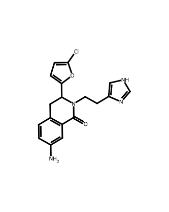 Nc1ccc2c(c1)C(=O)N(CCc1c[nH]cn1)C(c1ccc(Cl)o1)C2